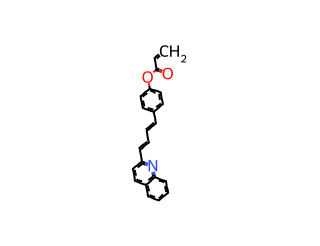 C=CC(=O)Oc1ccc(C=CC=Cc2ccc3ccccc3n2)cc1